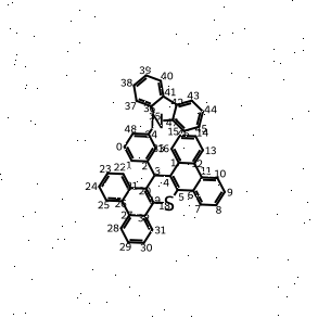 c1cc(C2c3c(c4ccccc4c4ccccc34)Sc3c2c2ccccc2c2ccccc32)cc(-n2c3ccccc3c3ccccc32)c1